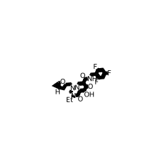 CCN1CN(CC2C[C@H]3CC3O2)n2cc(C(=O)NCc3c(F)cc(F)cc3F)c(=O)c(O)c2C1=O